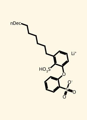 CCCCCCCCCCCCCCCCc1cccc(Oc2ccccc2S(=O)(=O)[O-])c1S(=O)(=O)O.[Li+]